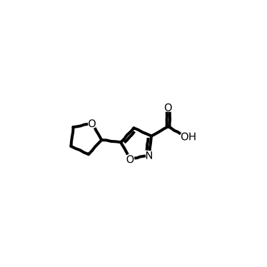 O=C(O)c1cc(C2CCCO2)on1